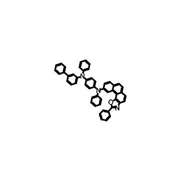 c1ccc(-c2cccc(N(c3ccccc3)c3ccc(N(c4ccccc4)c4ccc5ccc6ccc7nc(-c8ccccc8)oc7c6c5c4)cc3)c2)cc1